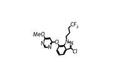 COc1cc(Oc2cccc3c(Cl)nn(CCCC(F)(F)F)c23)ncn1